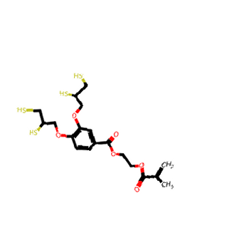 C=C(C)C(=O)OCCOC(=O)c1ccc(OCC(S)CS)c(OCC(S)CS)c1